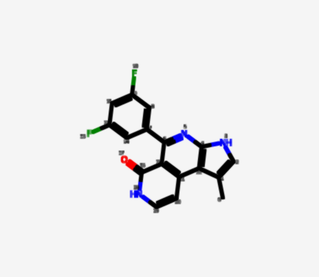 Cc1c[nH]c2nc(-c3cc(F)cc(F)c3)c3c(=O)[nH]ccc3c12